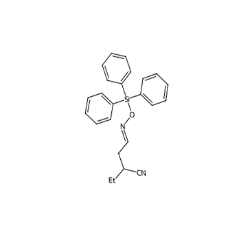 CCC(C#N)CC=NO[Si](c1ccccc1)(c1ccccc1)c1ccccc1